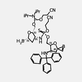 B[C@H]1C[C@@H](NP(=S)(OCCC#N)OC[C@H]2O[C@@]3(B=C3)C[C@H]2NC(c2ccccc2)(c2ccccc2)c2ccccc2)[C@@H](COP(OCCC#N)N(C(C)C)C(C)C)O1